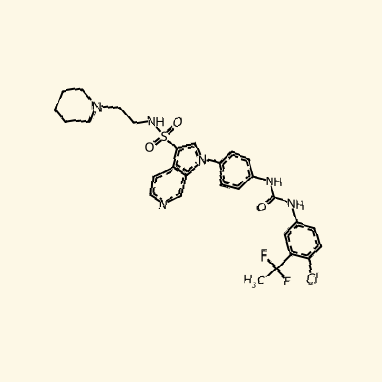 CC(F)(F)c1cc(NC(=O)Nc2ccc(-n3cc(S(=O)(=O)NCCN4CCCCC4)c4ccncc43)cc2)ccc1Cl